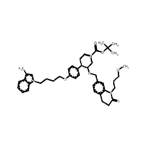 COCCCN1C(=O)CCc2ccc(COC3CN(C(=O)OC(C)(C)C)CCC3c3ccc(OCCCCn4cc(C)c5ccccc54)cc3)cc21